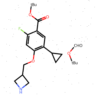 CC(C)(C)OC(=O)c1cc(C2CC2)c(OCC2CNC2)cc1F.CC(C)(C)OC=O